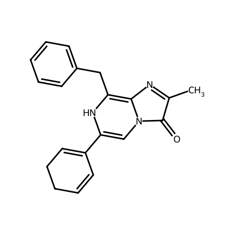 Cc1nc2c(Cc3ccccc3)[nH]c(C3=CCCC=C3)cn-2c1=O